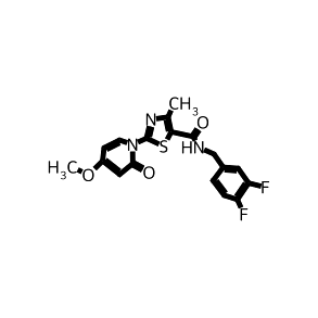 COc1ccn(-c2nc(C)c(C(=O)NCc3ccc(F)c(F)c3)s2)c(=O)c1